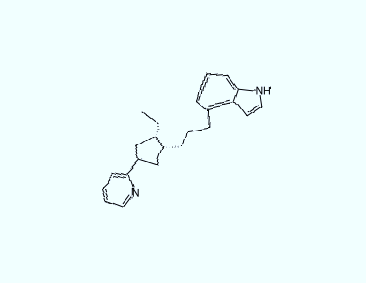 CC[C@H]1CC(c2ccccn2)C[C@H]1CCCc1cccc2[nH]ccc12